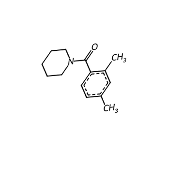 Cc1ccc(C(=O)N2CCCCC2)c(C)c1